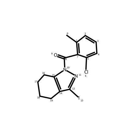 Cc1cccc(Cl)c1C(=O)n1nc(I)c2c1CCCC2